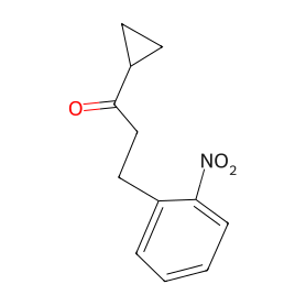 O=C(CCc1ccccc1[N+](=O)[O-])C1CC1